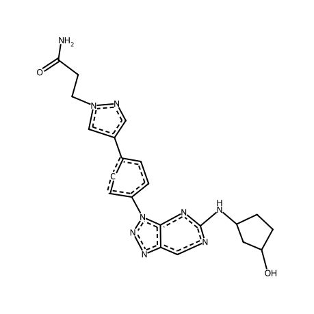 NC(=O)CCn1cc(-c2ccc(-n3nnc4cnc(NC5CCC(O)C5)nc43)cc2)cn1